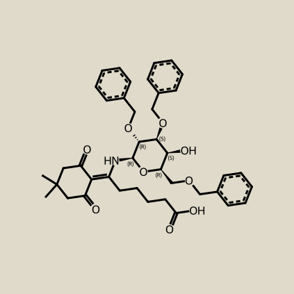 CC1(C)CC(=O)C(=C(CCCCC(=O)O)N[C@@H]2O[C@H](COCc3ccccc3)[C@H](O)[C@H](OCc3ccccc3)[C@H]2OCc2ccccc2)C(=O)C1